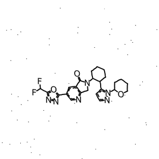 O=C1c2cc(-c3nnc(C(F)F)o3)cnc2CN1C1CCCCC1c1ccnn1C1CCCCO1